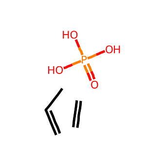 C=C.C=CC.O=P(O)(O)O